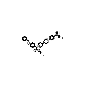 COC(=O)C(c1ccc(OCc2ccccc2)cc1)N1CCC(N2CCN(c3ccc(C(=N)N)cc3)CC2)CC1